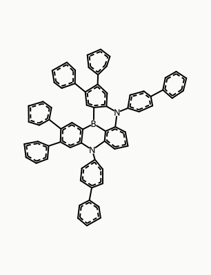 c1ccc(-c2ccc(N3c4cc(-c5ccccc5)c(-c5ccccc5)cc4B4c5cc(-c6ccccc6)c(-c6ccccc6)cc5N(c5ccc(-c6ccccc6)cc5)c5cccc3c54)cc2)cc1